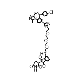 Cc1nnc2n1-c1ccc(-c3cnn(CCOCCOCCOCCNc4cccc5c4C(=O)N(C4CCC(=O)NC4=O)C5=O)c3)cc1C(c1ccc(Cl)cc1)=N[C@H]2C